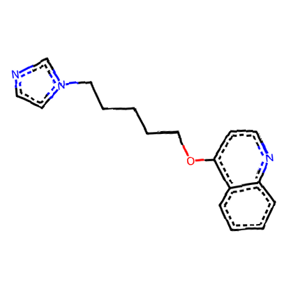 c1ccc2c(OCCCCCn3ccnc3)ccnc2c1